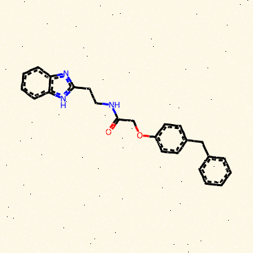 O=C(COc1ccc(Cc2ccccc2)cc1)NCCc1nc2ccccc2[nH]1